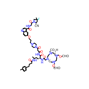 Cc1ccc(CCCC(=O)NC(C)CC[C@H](NC(=O)CN2CCN(COC=O)CCN(COC=O)CCN(CC(=O)O)CC2)C(=O)NC(=O)CC(=O)N2CCN(CCCOc3ccc4nccc(C(=O)NCC(=O)N5CC(C)(F)C[C@@H]5C#N)c4c3)CC2)cc1